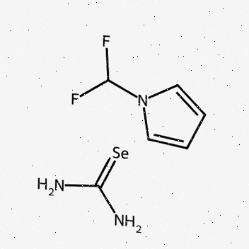 FC(F)n1cccc1.NC(N)=[Se]